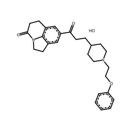 Cl.O=C(CCC1CCN(CCOc2ccccc2)CC1)c1cc2c3c(c1)CCN3C(=O)CC2